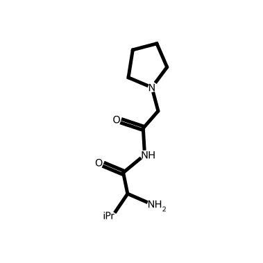 CC(C)C(N)C(=O)NC(=O)CN1CCCC1